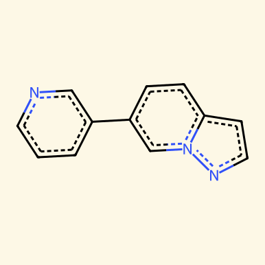 c1cncc(-c2ccc3ccnn3c2)c1